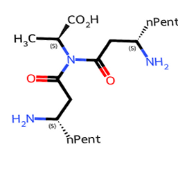 CCCCC[C@H](N)CC(=O)N(C(=O)C[C@@H](N)CCCCC)[C@@H](C)C(=O)O